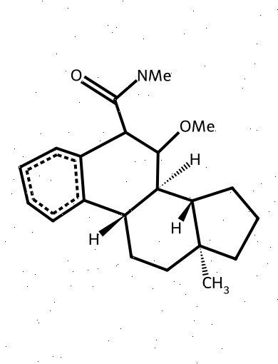 CNC(=O)C1c2ccccc2[C@H]2CC[C@]3(C)CCC[C@H]3[C@@H]2C1OC